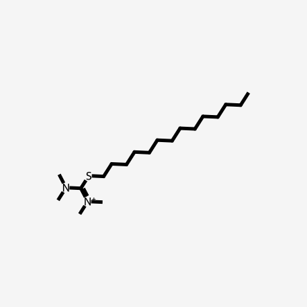 CCCCCCCCCCCCCCSC(N(C)C)=[N+](C)C